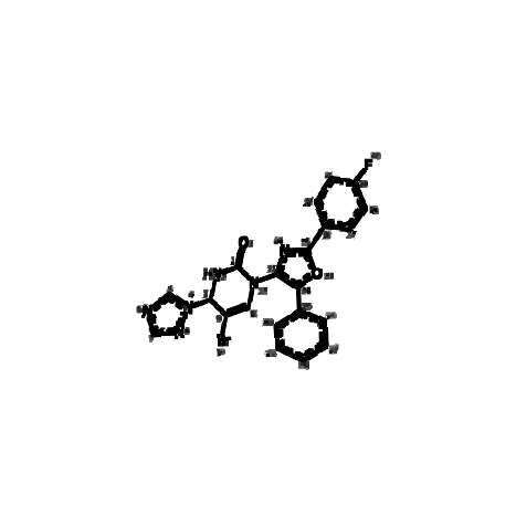 O=C1NC(n2cncn2)C(Br)=CN1c1nc(-c2ccc(F)cc2)oc1-c1ccccc1